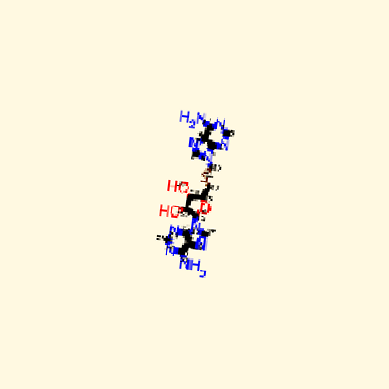 Nc1ncnc2c1ncn2CSCC1OC(n2cnc3c(N)ncnc32)C(O)C1O